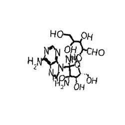 Nc1ncnc2c1ncn2[C@]1(N)O[C@H](CO)[C@@H](O)[C@@]1(N)O.O=CC(O)C(O)C(O)CO